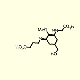 COC1=C(NCC(=O)O)CC(CO)C/C1=N\CCCC(=O)O